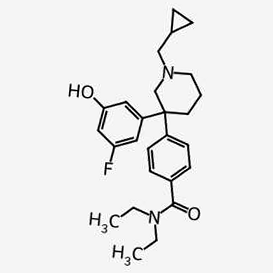 CCN(CC)C(=O)c1ccc(C2(c3cc(O)cc(F)c3)CCCN(CC3CC3)C2)cc1